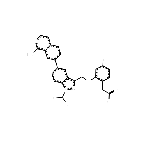 Cc1ccc(CC(=O)O)c(OCc2nn(C(C)C)c3ccc(-c4ccc5ccnc(N)c5c4)cc23)c1